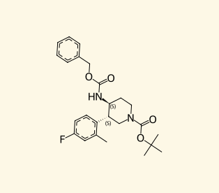 Cc1cc(F)ccc1[C@H]1CN(C(=O)OC(C)(C)C)CC[C@@H]1NC(=O)OCc1ccccc1